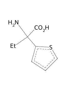 CCC(N)(C(=O)O)c1cccs1